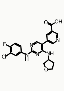 O=C(O)c1cncc(-c2cnc(Nc3ccc(F)c(Cl)c3)nc2NC2CCOC2)c1